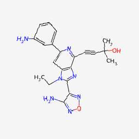 CCn1c(-c2nonc2N)nc2c(C#CC(C)(C)O)nc(-c3cccc(N)c3)cc21